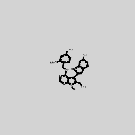 COc1ccc(CNc2ncnc3c2c(-c2cc4ccc(C#N)cc4[nH]2)c(CO)n3C(C)C)c(OC)c1